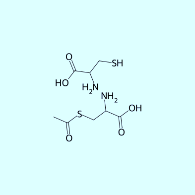 CC(=O)SCC(N)C(=O)O.NC(CS)C(=O)O